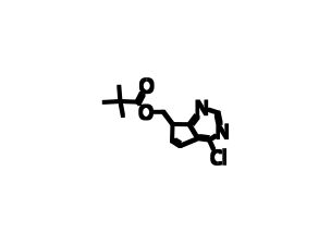 CC(C)(C)C(=O)OCC1C=Cc2c(Cl)ncnc21